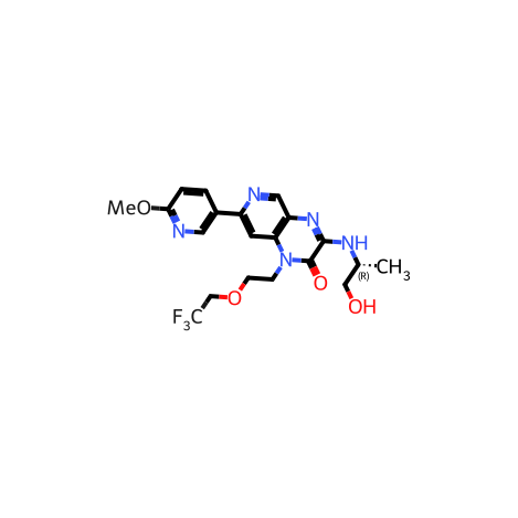 COc1ccc(-c2cc3c(cn2)nc(N[C@H](C)CO)c(=O)n3CCOCC(F)(F)F)cn1